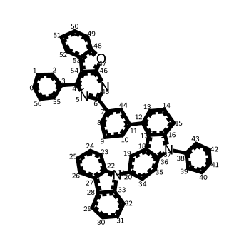 c1ccc(-c2nc(-c3cccc(-c4cccc5c4c4cc(-n6c7ccccc7c7ccccc76)ccc4n5-c4ccccc4)c3)nc3oc4ccccc4c23)cc1